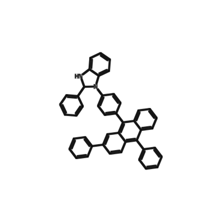 c1ccc(-c2ccc3c(-c4ccccc4)c4ccccc4c(-c4ccc(N5c6ccccc6NC5c5ccccc5)cc4)c3c2)cc1